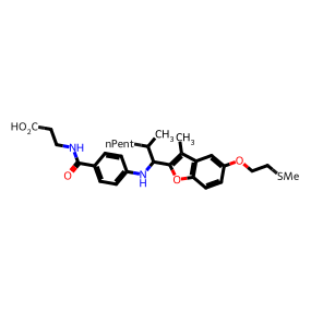 CCCCCC(C)C(Nc1ccc(C(=O)NCCC(=O)O)cc1)c1oc2ccc(OCCSC)cc2c1C